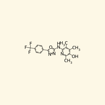 Cc1nc(Nc2nnc(-c3ccc(C(F)(F)F)cc3)o2)c(C)c(C)c1O